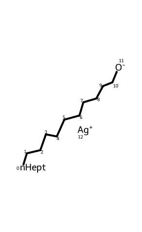 CCCCCCCCCCCCCCCCC[O-].[Ag+]